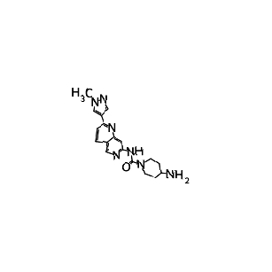 Cn1cc(-c2ccc3cnc(NC(=O)N4CCC(N)CC4)cc3n2)cn1